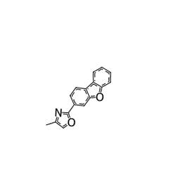 Cc1coc(-c2ccc3c(c2)oc2ccccc23)n1